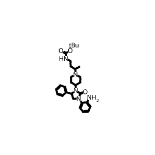 CC(CCNC(=O)OC(C)(C)C)N1CCC(N2C(=O)N(c3ccccc3N)CC2c2ccccc2)CC1